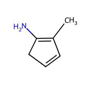 CC1=C(N)CC=C1